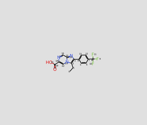 CCc1c(-c2ccc(C(F)(F)F)cc2)nc2cnc(C(=O)O)cn12